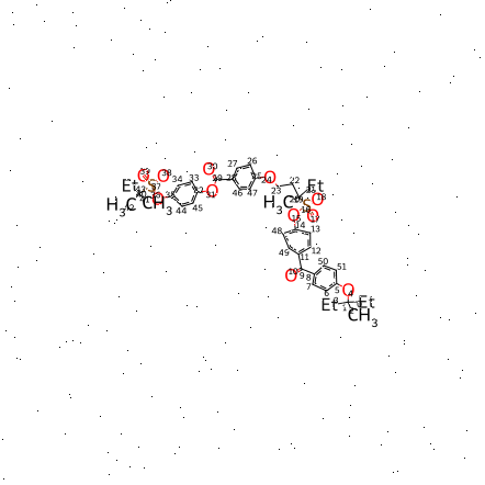 CCC(C)(CC)Oc1ccc(C(=O)c2ccc(OS(=O)(=O)C(C)(CC)CCOc3ccc(C(=O)Oc4ccc(OS(=O)(=O)C(C)(C)CC)cc4)cc3)cc2)cc1